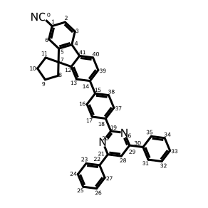 N#Cc1ccc2c(c1)C1(CCCC1)c1cc(-c3ccc(-c4nc(-c5ccccc5)cc(-c5ccccc5)n4)cc3)ccc1-2